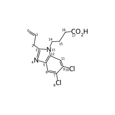 C=CCc1nc2cc(Cl)c(Cl)cc2n1CCCC(=O)O